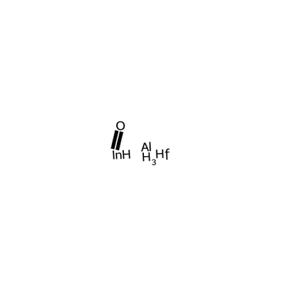 [AlH3].[Hf].[O]=[InH]